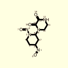 O=NC1CCN(N=O)C(N2CCNC(=O)C2=O)C1